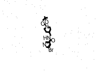 CC(C)(C)OC(=O)N1CCC(CNC(=O)c2cncc(Br)c2)CC1